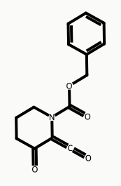 O=C=C1C(=O)CCCN1C(=O)OCc1ccccc1